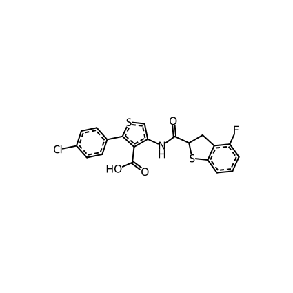 O=C(O)c1c(NC(=O)C2Cc3c(F)cccc3S2)csc1-c1ccc(Cl)cc1